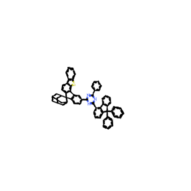 c1ccc(-c2nc(-c3ccc4c(c3)-c3c(ccc5c3sc3ccccc35)C43C4CC5CC(C4)CC3C5)nc(-c3cccc4c3-c3ccccc3C4(c3ccccc3)c3ccccc3)n2)cc1